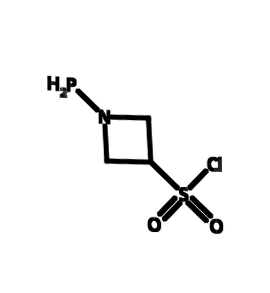 O=S(=O)(Cl)C1CN(P)C1